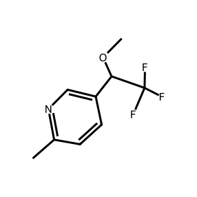 COC(c1ccc(C)nc1)C(F)(F)F